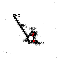 CC[C@H]1OC(=O)[C@H](C)[C@@H](O[C@H]2C[C@@](C)(OC)[C@@H](O)[C@H](C)O2)[C@H](C)[C@@H](O[C@@H]2O[C@H](C)C[C@H](N(C)C)[C@H]2O)[C@](C)(O)C[C@@H](C)CN(CCCCCCCCCCCC(P)CCCCCCCCCCCC=O)[C@H](C)[C@@H](O)[C@]1(C)O.Cl